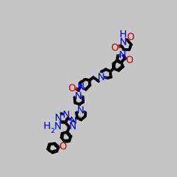 Nc1ncnc2c1c(-c1ccc(Oc3ccccc3)cc1)nn2[C@@H]1CCCN(C2CCN(C(=O)N3CCC(CCN4CCC(c5ccc6c(c5)CN(C5CCC(=O)NC5=O)C6=O)CC4)CC3)CC2)C1